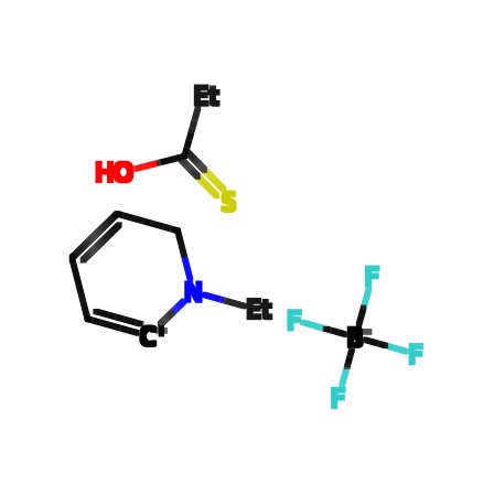 CCC(O)=S.CCN1[C+]=CC=CC1.F[B-](F)(F)F